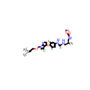 CC(CNC(=O)OC(C)(C)C)CNC(=S)Nc1cc(F)c(Oc2ccnc3c2c(Cl)cn3COCC[SiH](C)C)c(F)c1